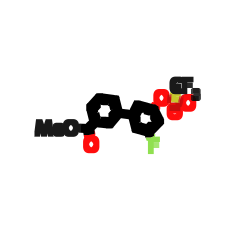 COC(=O)c1cccc(-c2cc(F)cc(OS(=O)(=O)C(F)(F)F)c2)c1